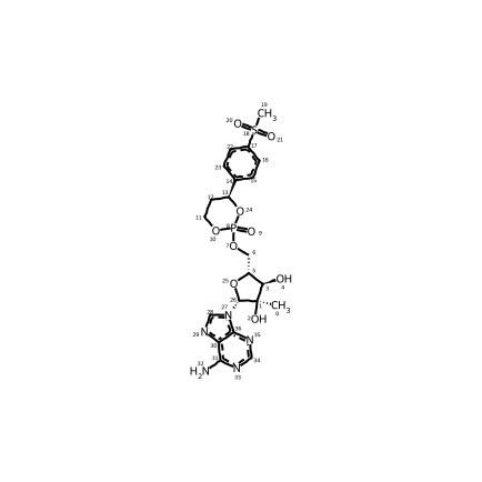 C[C@@]1(O)[C@H](O)[C@@H](COP2(=O)OCC[C@@H](c3ccc(S(C)(=O)=O)cc3)O2)O[C@H]1n1cnc2c(N)ncnc21